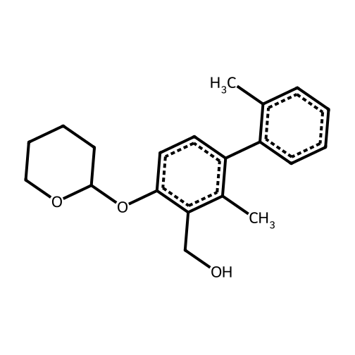 Cc1ccccc1-c1ccc(OC2CCCCO2)c(CO)c1C